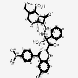 CC(=O)OCC1=C(C(=O)O)N2C(=O)[C@@H](NN[C@@](C(=O)O)(C(=O)COc3ccc(Cl)cc3C(=O)c3ccc(N(Cl)C(C)=O)cc3)c3ccccc3)[C@H]2SC1